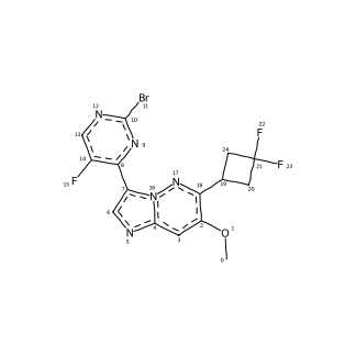 COc1cc2ncc(-c3nc(Br)ncc3F)n2nc1C1CC(F)(F)C1